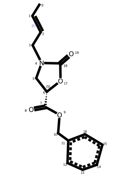 C/C=C/CN1C[C@@H](C(=O)OCc2ccccc2)OC1=O